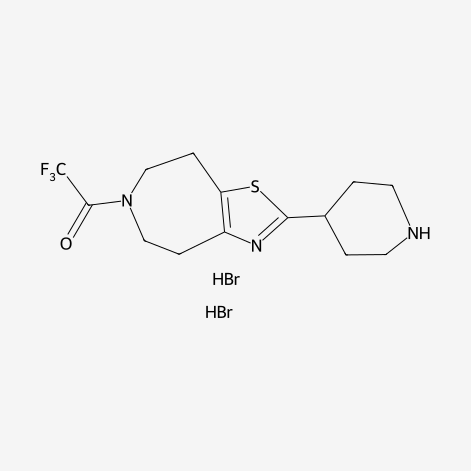 Br.Br.O=C(N1CCc2nc(C3CCNCC3)sc2CC1)C(F)(F)F